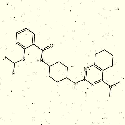 CN(C)c1nc(NC2CCC(NC(=O)c3ccccc3SC(F)F)CC2)nc2c1CCCC2